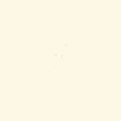 CCCCCCCC(CCCCCCC)OP(=O)(O)OCC[N+](C)(C)C